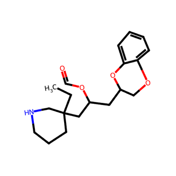 CCC1(CC(CC2COc3ccccc3O2)OC=O)CCCNC1